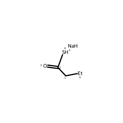 CCCC(=O)S.[NaH]